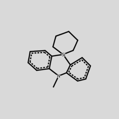 CN1c2ccccc2[Si]2(CCCCC2)c2ccccc21